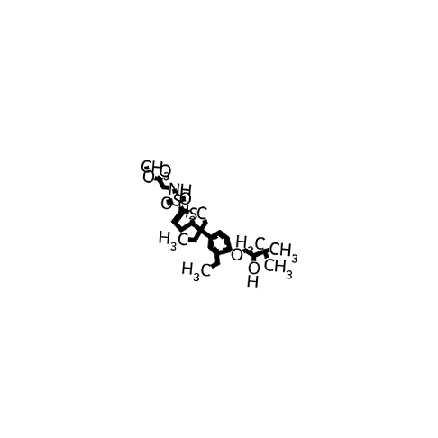 CCc1cc(C(CC)(CC)C2CC=C(S(=O)(=O)NCC(=O)OC)S2)ccc1OCC(O)C(C)(C)C